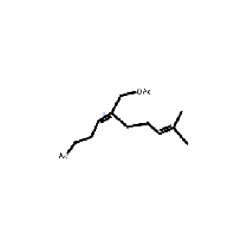 CC(=O)CC/C=C(\CCC=C(C)C)COC(C)=O